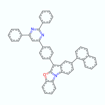 c1ccc(-c2cc(-c3ccc(-c4c5cc(-c6cccc7ccccc67)ccc5n5c4oc4ccccc45)cc3)nc(-c3ccccc3)n2)cc1